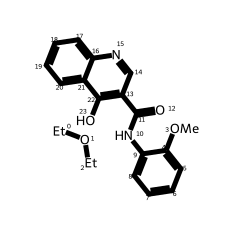 CCOCC.COc1ccccc1NC(=O)c1cnc2ccccc2c1O